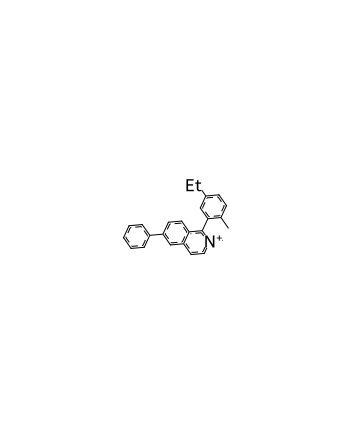 CCc1ccc(C)c(-c2c3ccc(-c4ccccc4)cc3cc[n+]2C)c1